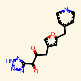 O=C(Cc1coc(Cc2ccncc2)c1)C(=O)c1nn[nH]n1